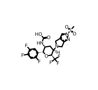 [2H][C@@]1(N2Cc3cn(S(C)(=O)=O)nc3C2)C[C@H](NC(=O)O)[C@@H](c2cc(F)c(F)cc2F)O[C@@H]1C(F)(F)F